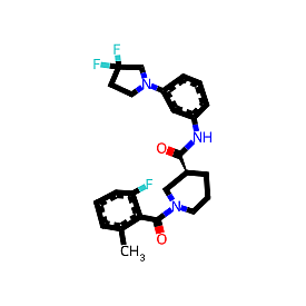 Cc1cccc(F)c1C(=O)N1CCC[C@H](C(=O)Nc2cccc(N3CCC(F)(F)C3)c2)C1